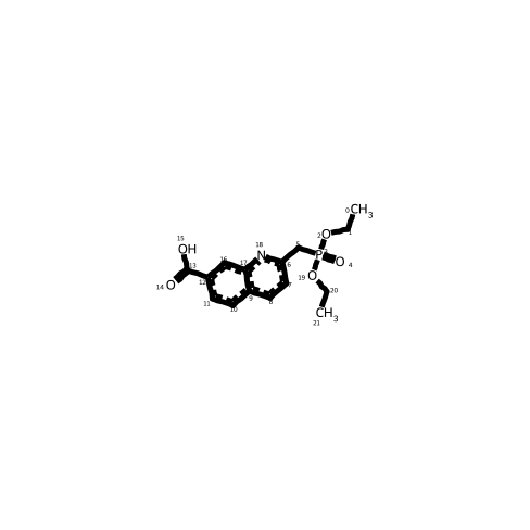 CCOP(=O)(Cc1ccc2ccc(C(=O)O)cc2n1)OCC